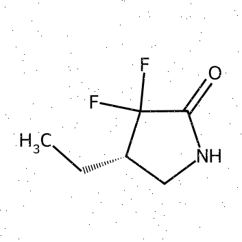 CC[C@H]1CNC(=O)C1(F)F